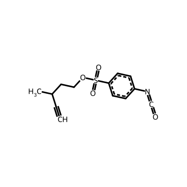 C#CC(C)CCOS(=O)(=O)c1ccc(N=C=O)cc1